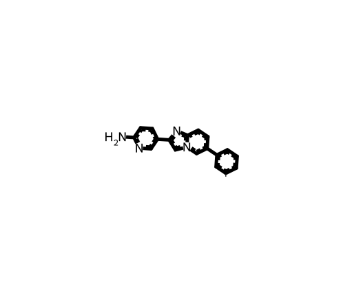 Nc1ccc(-c2cn3cc(-c4c[c]ccc4)ccc3n2)cn1